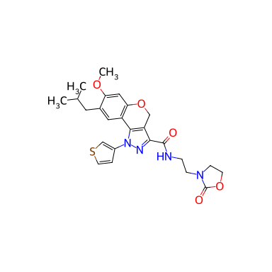 COc1cc2c(cc1CC(C)C)-c1c(c(C(=O)NCCN3CCOC3=O)nn1-c1ccsc1)CO2